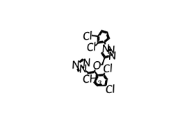 C/C(=C(/OCc1cn(-c2cccc(Cl)c2Cl)nn1)c1ccc(Cl)cc1Cl)n1cncn1